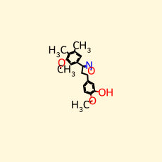 COc1ccc(C2CC(c3cc(C)c(C)c(OC)c3)=NO2)cc1O